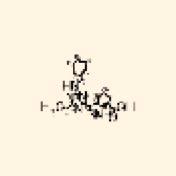 CCc1nc(NCc2ccccc2)nc(-c2n[nH]c3c(C(=O)O)cccc23)n1